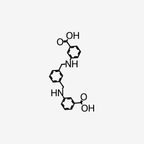 O=C(O)c1cccc(NCc2cccc(CNc3cccc(C(=O)O)c3)c2)c1